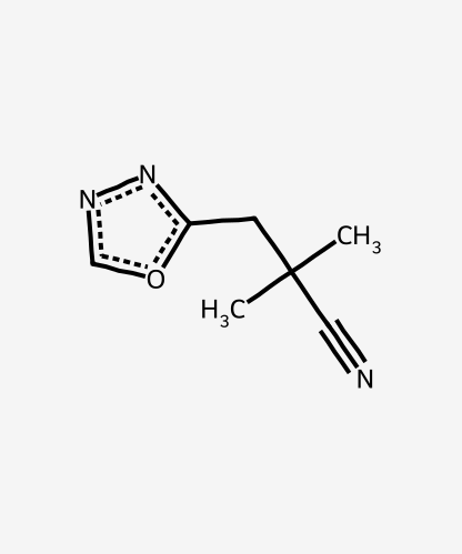 CC(C)(C#N)Cc1nnco1